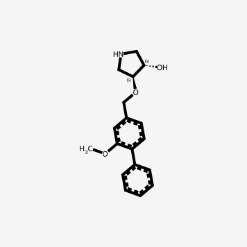 COc1cc(CO[C@H]2CNC[C@@H]2O)ccc1-c1ccccc1